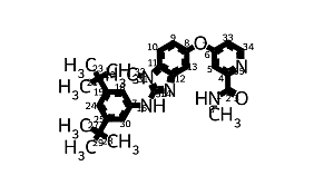 CNC(=O)c1cc(Oc2ccc3c(c2)nc(Nc2cc(C(C)(C)C)cc(C(C)(C)C)c2)n3C)ccn1